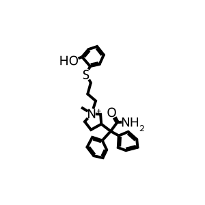 C[N+]1(CCCSc2ccccc2O)CCC(C(C(N)=O)(c2ccccc2)c2ccccc2)C1